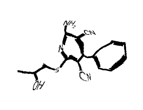 CC(O)CSc1nc(N)c(C#N)c(-c2ccccc2)c1C#N